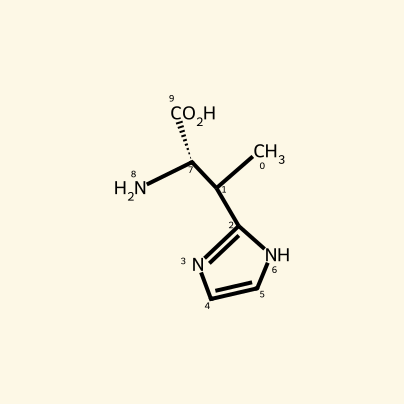 CC(c1ncc[nH]1)[C@H](N)C(=O)O